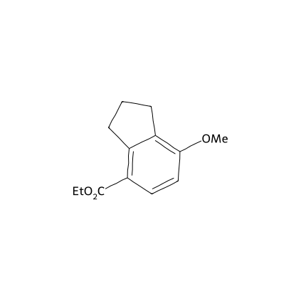 CCOC(=O)c1ccc(OC)c2c1CCC2